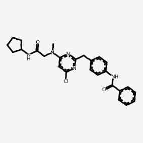 CN(CC(=O)NC1CCCC1)c1[c]c(Cl)nc(Cc2ccc(NC(=O)c3ccccc3)cc2)n1